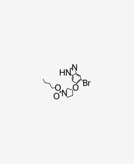 CCCCOC(=O)N1CCC(Oc2cc3[nH]cnc3cc2Br)C1